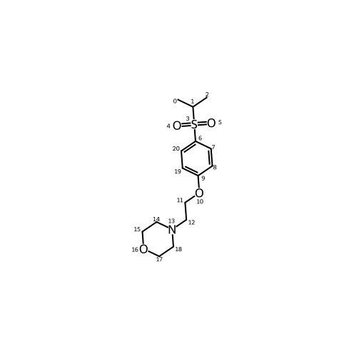 CC(C)S(=O)(=O)c1ccc(OCCN2CCOCC2)cc1